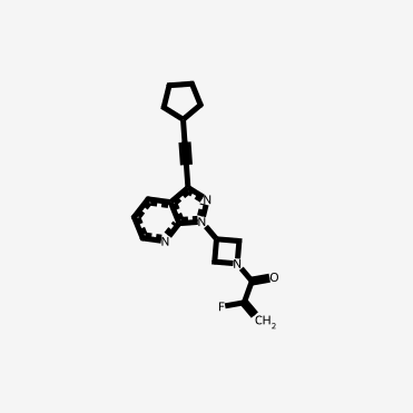 C=C(F)C(=O)N1CC(n2nc(C#CC3CCCC3)c3cccnc32)C1